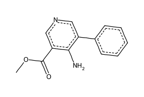 COC(=O)c1cncc(-c2ccccc2)c1N